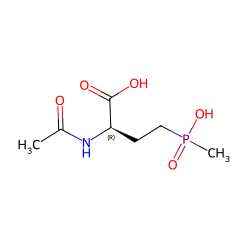 CC(=O)N[C@H](CCP(C)(=O)O)C(=O)O